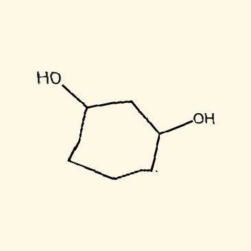 OC1[CH]CCC(O)C1